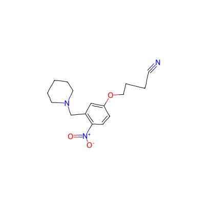 N#CCCCOc1ccc([N+](=O)[O-])c(CN2CCCCC2)c1